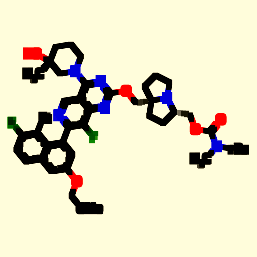 CCCCN(C)C(=O)OC[C@@H]1CC[C@@]2(COc3nc(N4CCC[C@@](C)(O)C4)c4cnc(-c5cc(OCOC)cc6ccc(F)c(CC)c56)c(F)c4n3)CCCN12